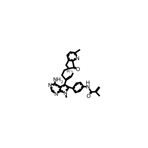 C=C(C)C(=O)Nc1ccc(-c2c(C3=CC[C@]4(CC3)Cc3ccc(C)nc3C4=O)c3c(N)ncnc3n2C)cc1